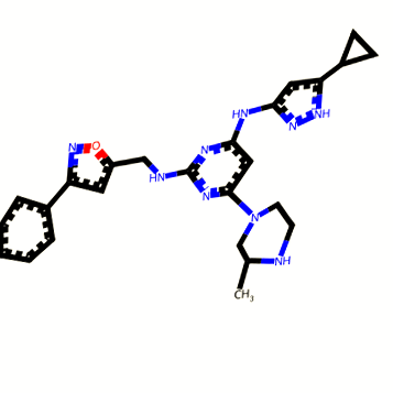 CC1CN(c2cc(Nc3cc(C4CC4)[nH]n3)nc(NCc3cc(-c4ccccc4)no3)n2)CCN1